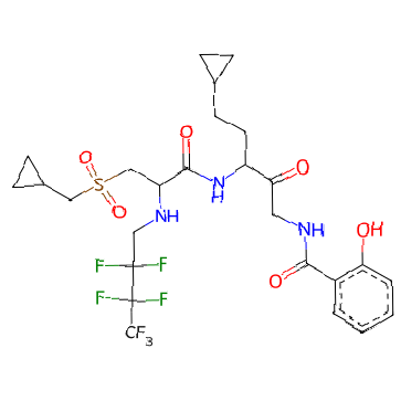 O=C(NCC(=O)C(CCC1CC1)NC(=O)C(CS(=O)(=O)CC1CC1)NCC(F)(F)C(F)(F)C(F)(F)F)c1ccccc1O